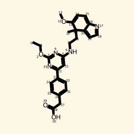 CCOc1nc(NCCC2(C)C(OC)=CC=C3N=CC=C32)cc(-c2ccc(CC(=O)O)cc2)n1